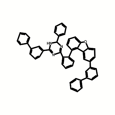 c1ccc(-c2cccc(C3=NC(c4ccccc4-c4cccc5oc6ccc(-c7cccc(-c8ccccc8)c7)cc6c45)=NC(c4ccccc4)N3)c2)cc1